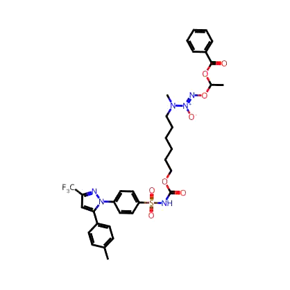 Cc1ccc(-c2cc(C(F)(F)F)nn2-c2ccc(S(=O)(=O)NC(=O)OCCCCCCN(C)[N+]([O-])=NOC(C)OC(=O)c3ccccc3)cc2)cc1